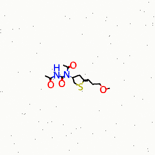 COCC/C=C1/C[C@@H](N(C(C)=O)C(=O)NC(C)=O)CS1